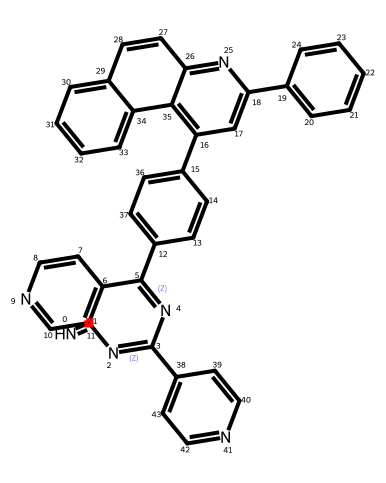 N=C/N=C(\N=C(/c1ccncc1)c1ccc(-c2cc(-c3ccccc3)nc3ccc4ccccc4c23)cc1)c1ccncc1